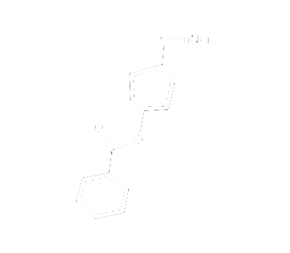 CCCCCCCCCOc1ccc(OC(=O)c2ccccc2)cc1